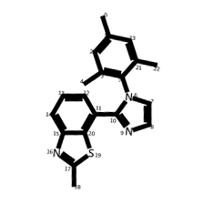 Cc1cc(C)c(-n2ccnc2-c2cccc3nc(C)sc23)c(C)c1